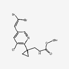 CC(C)(C)OC(=O)NCC1(c2ncc(C=C(Br)Br)cc2Cl)CC1